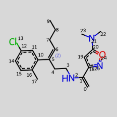 C=C(NCC/C(=C/CCC)c1cc(Cl)ccc1C)c1cc(N(C)C)on1